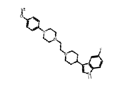 CCOc1ccc(N2CCN(CCN3CCC(c4c[nH]c5ccc(F)cc45)CC3)CC2)cc1